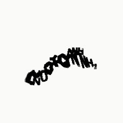 CC(C)C(C)(c1ccc(OCc2ccccn2)cc1)c1ccc(-c2n[nH]c(CN)n2)cc1